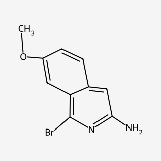 COc1ccc2cc(N)nc(Br)c2c1